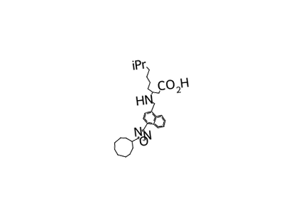 CC(C)CCCCC(CC(=O)O)NCc1ccc(-c2noc(C3CCCCCCCC3)n2)c2ccccc12